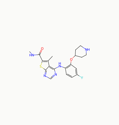 CNC(=O)c1sc2ncnc(Nc3ccc(F)cc3OC3CCNCC3)c2c1C